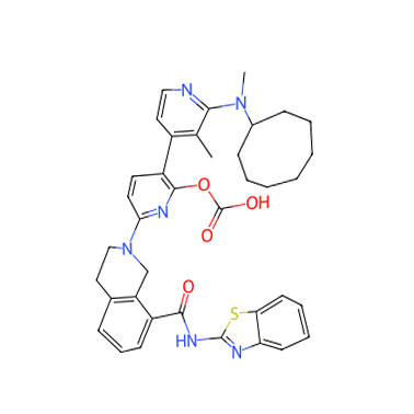 Cc1c(-c2ccc(N3CCc4cccc(C(=O)Nc5nc6ccccc6s5)c4C3)nc2OC(=O)O)ccnc1N(C)C1CCCCCCC1